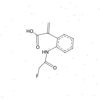 C=C(C(=O)O)c1ccccc1NC(=O)CF